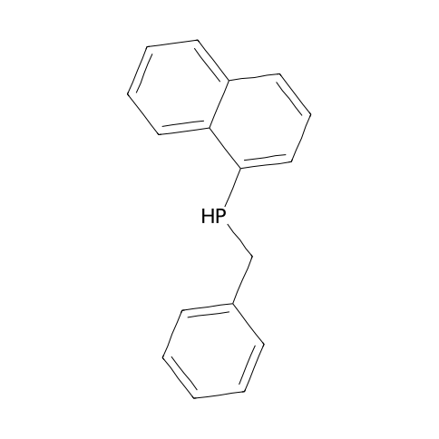 c1ccc(CPc2cccc3ccccc23)cc1